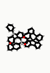 CCc1ccc2cccc3c2c1C1(c2ccccc2-c2ccc(N(c4ccc5ccccc5c4)c4cccc5c4c4ccccc4n5-c4ccccc4)cc21)c1ccccc1-3